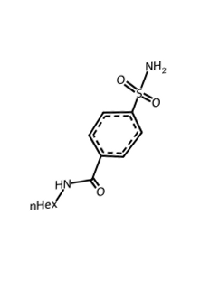 CCCCCCNC(=O)c1ccc(S(N)(=O)=O)cc1